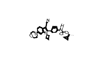 C[C@@H](OC(=O)Nc1ccc(-c2c(C#N)c3ccc(N4CCOCC4)cc3n2C2CCC2)cc1)C1CC1